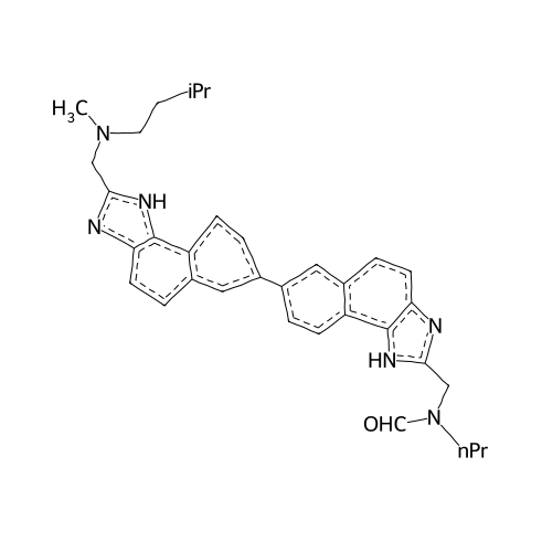 CCCN(C=O)Cc1nc2ccc3cc(-c4ccc5c(ccc6nc(CN(C)CCC(C)C)[nH]c65)c4)ccc3c2[nH]1